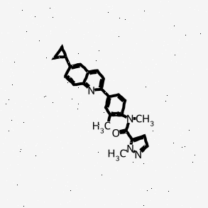 Cc1cc(-c2ccc3cc(C4CC4)ccc3n2)ccc1N(C)C(=O)c1ccnn1C